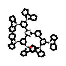 c1cc(-c2cc(-n3c4ccccc4c4ccccc43)cc(-n3c4ccccc4c4ccccc43)c2)cc(-c2nc(-c3cc(-n4c5ccccc5c5ccccc54)cc(-n4c5ccccc5c5ccccc54)c3)nc(-c3cc(-n4c5ccccc5c5ccccc54)cc(-n4c5ccccc5c5ccccc54)c3)n2)c1